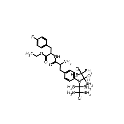 BC(B)(Cl)C(B)(B)N(c1ccc(CC(N)C(=O)NC(Cc2ccc(F)cc2)C(=O)OCC)cc1)C(B)(O)C(B)(B)Cl